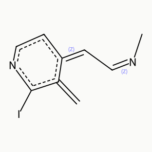 C=c1c(I)ncc/c1=C/C=N\C